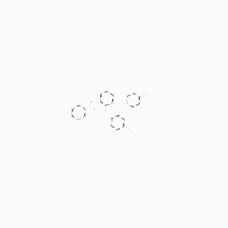 Nc1ccc(Oc2cccc(S(=O)(=O)c3ccccc3)c2Oc2ccc(N)cc2)cc1